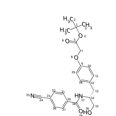 CC(C)(C)OC(=O)COc1ccc(C[C@H](CO)NC(=O)c2ccc(C#N)cc2)cc1